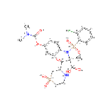 CN(C)C(=O)Oc1ccc(N([C@@](C)(C(=O)O)C(=O)C2CS(=O)(=O)CCN2)S(=O)(=O)c2ccccc2F)cc1